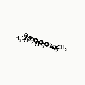 C=CC(=O)O/C=C\Oc1ccc(-c2ccc(-c3ccc(O/C=C\OC(=O)C(=C)C)cc3C)cc2)cc1